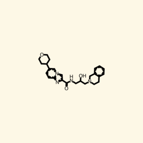 O=C(NCC(O)CN1CCc2ccccc2C1)c1cn2cc(C3CCOCC3)ccc2n1